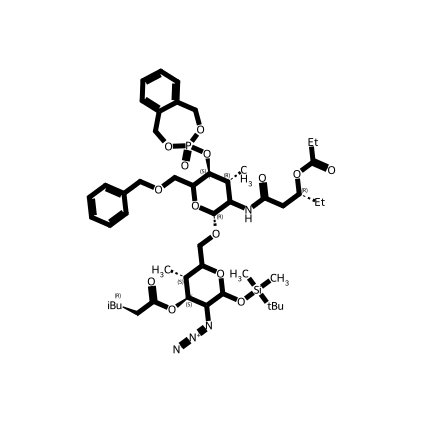 CCC(=O)O[C@H](CC)CC(=O)NC1[C@H](OCC2OC(O[Si](C)(C)C(C)(C)C)C(N=[N+]=[N-])[C@@H](OC(=O)C[C@H](C)CC)[C@@H]2C)OC(COCc2ccccc2)[C@@H](OP2(=O)OCc3ccccc3CO2)[C@@H]1C